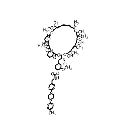 CO[C@H]1C[C@@H]2CC[C@@H](C)[C@@](O)(O2)C(=O)C(=O)N2CCCC[C@H]2C(=O)O[C@H]([C@H](N)C[C@@H]2CC[C@@H](OC(=O)NCc3cnc(N4CCN(c5ncc(C)cn5)CC4)nc3)[C@H](OC)C2)C[C@@H](O)[C@H](C)/C=C(\C)[C@@H](O)[C@@H](OC)C(=O)[C@H](C)C[C@H](C)/C=C/C=C/C=C/1C